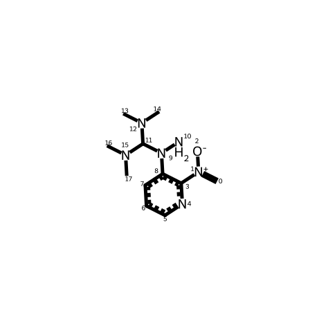 C=[N+]([O-])c1ncccc1N(N)C(N(C)C)N(C)C